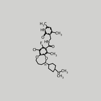 Cc1cc(C)c(CNC(=O)c2c(C)c3c(c(Cl)c2F)OCCC[C@H](C2CCC(N(C)C)CC2)O3)c(=O)[nH]1